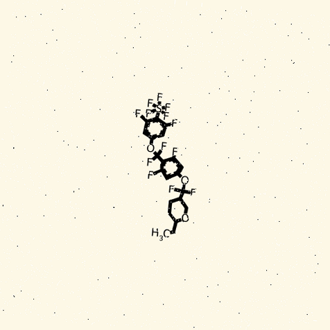 CCC1CCC(C(F)(F)Oc2cc(F)c(C(F)(F)Oc3cc(F)c(S(F)(F)(F)(F)F)c(F)c3)c(F)c2)CO1